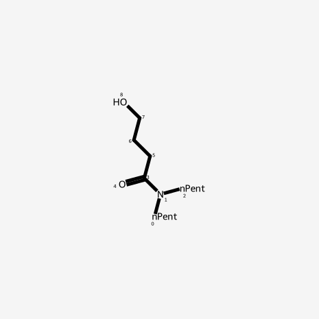 CCCCCN(CCCCC)C(=O)CCCO